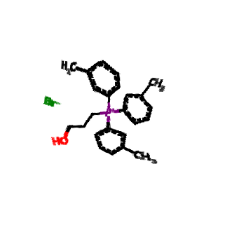 Cc1cccc([P+](CCCO)(c2cccc(C)c2)c2cccc(C)c2)c1.[Br-]